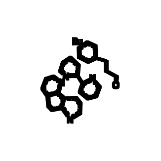 O=CC=Cc1ccccc1.[Ru].c1ccc(-c2ccccn2)nc1.c1cnc2c(c1)ccc1ncccc12